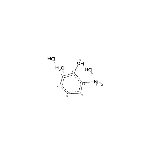 Cl.Cl.Nc1ccccc1O.O